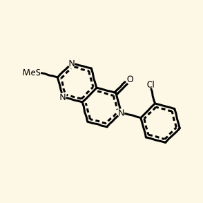 CSc1ncc2c(=O)n(-c3ccccc3Cl)ccc2n1